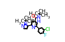 CC(C)(C)NC(=O)c1cc(-c2ccc(F)c(Cl)c2)nc(-c2ccnn2C(C)(C)C)c1